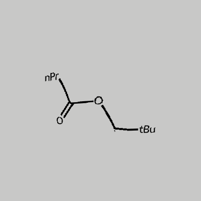 CCCC(=O)O[CH]C(C)(C)C